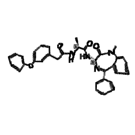 C[C@H](NC(=O)Cc1cccc(Oc2ccccc2)c1)C(=O)N[C@H]1N=C(c2ccccc2)c2ccccc2N(C)C1=O